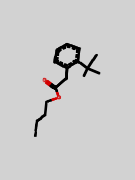 CCCCOC(=O)Cc1ccccc1C(C)(C)C